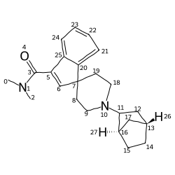 CN(C)C(=O)C1=CC2(CCN(C3C[C@@H]4CC[C@@H]3C4)CC2)c2ccccc21